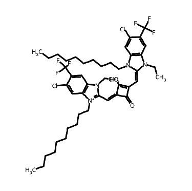 CCCCCCCCCCN1/C(=C\C2=C(O)C(=C\c3n(CC)c4cc(C(F)(F)F)c(Cl)cc4[n+]3CCCCCCCCCC)/C2=O)N(CC)c2cc(C(F)(F)F)c(Cl)cc21